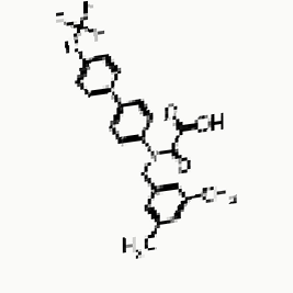 Cc1cc(C)cc(CN(C(=O)C(=O)O)c2ccc(-c3ccc(OC(F)(F)F)cc3)cc2)c1